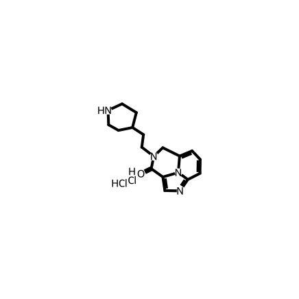 Cl.Cl.O=C1c2cnc3cccc(n23)CN1CCC1CCNCC1